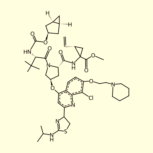 C=C[C@@H]1CC1(NC(=O)[C@@H]1C[C@@H](Oc2cc(C3CSC(NC(C)C)=N3)nc3c(Cl)c(OCCN4CCCCC4)ccc23)CN1C(=O)[C@@H](NC(=O)O[C@@H]1C[C@@H]2C[C@@H]2C1)C(C)(C)C)C(=O)OC